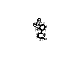 Cc1cc[c]c(-c2cccc([N+](=O)[O-])c2F)n1